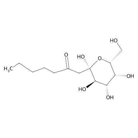 CCCCCC(=O)C[C@@]1(O)O[C@H](CO)[C@H](O)[C@H](O)[C@H]1O